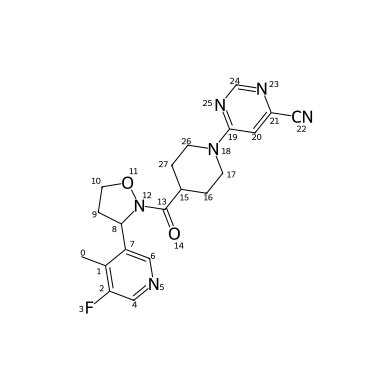 Cc1c(F)cncc1C1CCON1C(=O)C1CCN(c2cc(C#N)ncn2)CC1